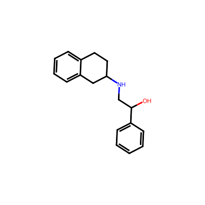 OC(CNC1CCc2ccccc2C1)c1ccccc1